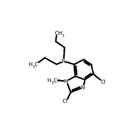 CCCN(CCC)c1ccc(Cl)c2nc(Cl)n(C)c12